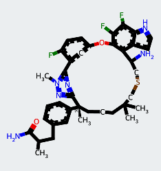 CC(Cc1cccc([C@@]2(C)CCCC(C)(C)CSCC(N)c3c(c(F)c(F)c4[nH]ccc34)Oc3ccc(F)c(c3)-c3nc2nn3C)c1)C(N)=O